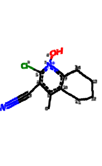 Cc1c(C#N)c(Cl)[n+](O)c2c1CCCC2